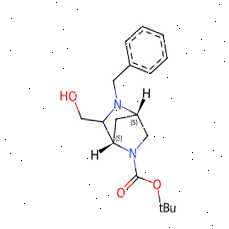 CC(C)(C)OC(=O)N1C[C@@H]2C[C@H]1C(CO)N2Cc1ccccc1